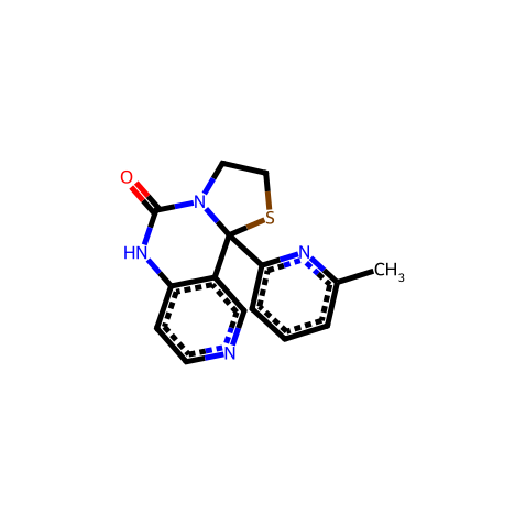 Cc1cccc(C23SCCN2C(=O)Nc2ccncc23)n1